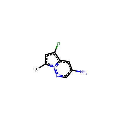 Nc1cnn2c(C(F)(F)F)cc(Cl)c2c1